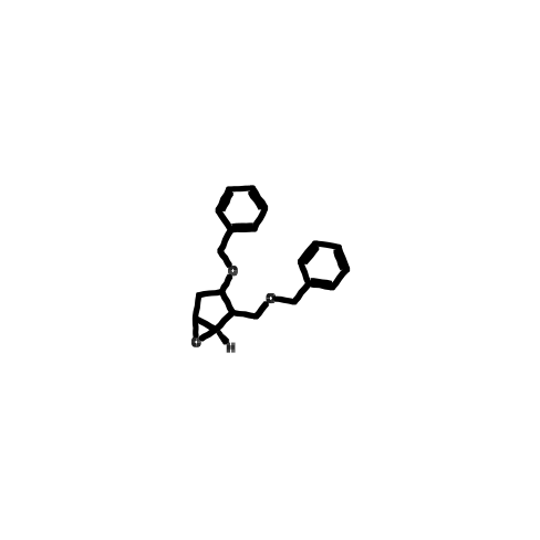 c1ccc(COCC2C(OCc3ccccc3)CC3O[C@H]32)cc1